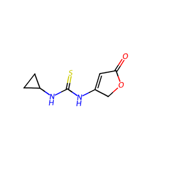 O=C1C=C(NC(=S)NC2CC2)CO1